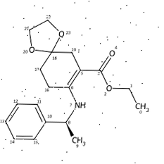 CCOC(=O)C1=C(N[C@@H](C)c2ccccc2)CCC2(C1)OCCO2